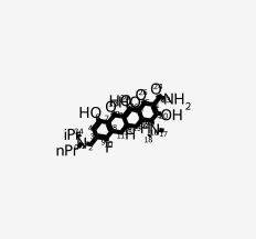 CCCN(Cc1cc(O)c2c(c1F)C[C@H]1C[C@H]3[C@H](N(C)C)C(O)=C(C(N)=O)C(=O)[C@@]3(O)C(O)=C1C2=O)C(C)C